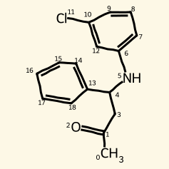 CC(=O)CC(Nc1cccc(Cl)c1)c1ccccc1